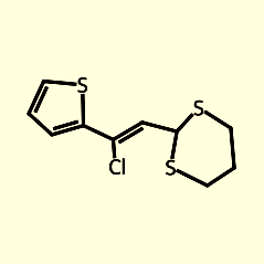 Cl/C(=C\C1SCCCS1)c1cccs1